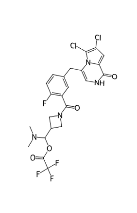 CN(C)C(OC(=O)C(F)(F)F)C1CN(C(=O)c2cc(Cc3c[nH]c(=O)c4cc(Cl)c(Cl)n34)ccc2F)C1